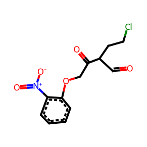 O=[C]C(CCCl)C(=O)COc1ccccc1[N+](=O)[O-]